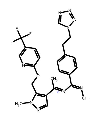 C/N=C(\N=C(/C)c1cnn(C)c1COc1ccc(C(F)(F)F)cn1)c1ccc(CCn2cnnn2)cc1